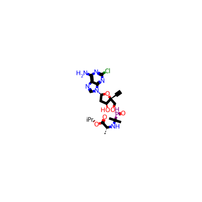 C#C[C@]1(CO[PH](=O)C(C)(C)N[C@H](C)C(=O)OC(C)C)O[C@@H](n2cnc3c(N)nc(Cl)nc32)C[C@@H]1O